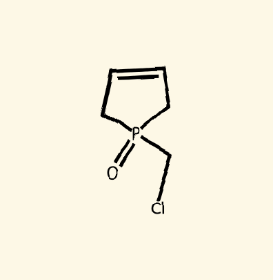 O=P1(CCl)CC=CC1